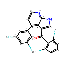 O=C(c1c(F)cccc1F)c1c[nH]c2nccc(-c3cc(F)cc(F)c3)c12